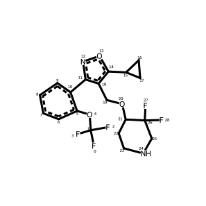 FC(F)(F)Oc1ccccc1-c1noc(C2CC2)c1COC1CCNCC1(F)F